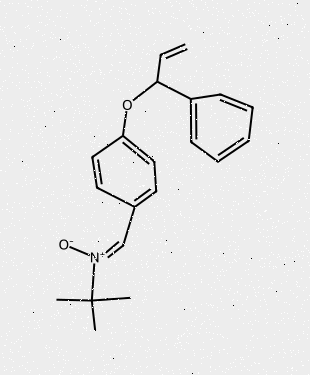 C=CC(Oc1ccc(C=[N+]([O-])C(C)(C)C)cc1)c1ccccc1